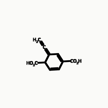 C=C=C1C=C(C(=O)O)C=CC1C(=O)O